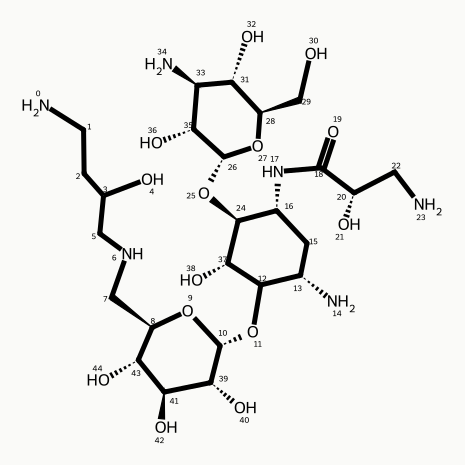 NCCC(O)CNC[C@H]1O[C@H](OC2[C@@H](N)C[C@@H](NC(=O)[C@@H](O)CN)[C@H](O[C@H]3O[C@H](CO)[C@@H](O)[C@H](N)[C@H]3O)[C@H]2O)[C@H](O)[C@@H](O)[C@@H]1O